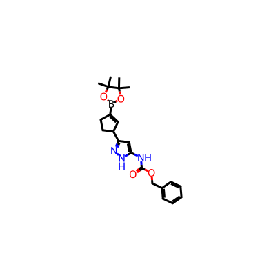 CC1(C)OB(C2=CC(c3cc(NC(=O)OCc4ccccc4)[nH]n3)CC2)OC1(C)C